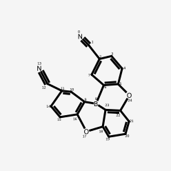 N#Cc1ccc2c(c1)B1c3cc(C#N)ccc3Oc3cccc(c31)O2